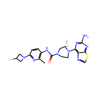 Cc1nc(N2CC(F)C2)ccc1NC(=O)N1CCN(c2nc(N)nc3scnc23)[C@@H](C)C1